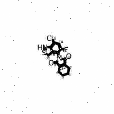 O=C1C2=C(CCCC2)C(=O)N1c1c(F)cc(Cl)c2c1CSN2